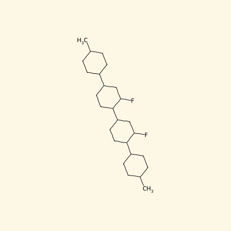 CC1CCC(C2CCC(C3CCC(C4CCC(C)CC4)C(F)C3)C(F)C2)CC1